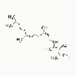 CC(=O)C(C(C)NCC=C(C)CCC=C(C)CCC=C(C)C)N(C)C